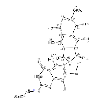 CO/N=C/c1cc2c(I)c3c(c(O)c2c(=O)[nH]1)[C@@]1(CC3)C(=O)c2c(O)c3c(c(O)c2C1=O)C(=O)C(OC)=CC3=O